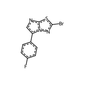 Fc1ccc(-c2cnc3sc(Br)nn23)cc1